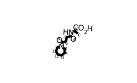 CC(NC(=O)CCC(=O)N1CCCCCC1)C(=O)O